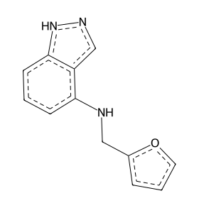 c1coc(CNc2cccc3[nH]ncc23)c1